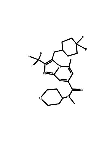 Cc1cc(C(=O)N(C)C2CCOCC2)cc2nc(C(F)(F)F)c(CC3CCC(F)(F)CC3)n12